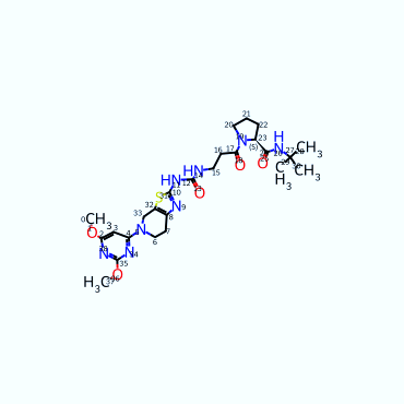 COc1cc(N2CCc3nc(NC(=O)NCCC(=O)N4CCC[C@H]4C(=O)NC(C)(C)C)sc3C2)nc(OC)n1